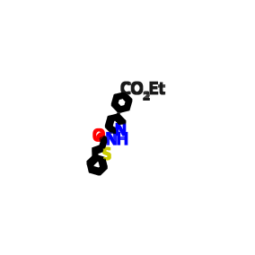 CCOC(=O)[C@H]1CC[C@H](c2ccc(NC(=O)c3cc4ccccc4s3)nc2)CC1